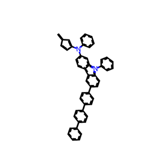 C=C1C=CC(N(c2ccccc2)c2ccc3c4cc(-c5ccc(-c6ccc(-c7ccccc7)cc6)cc5)ccc4n(-c4ccccc4)c3c2)=C1